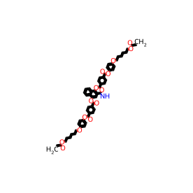 C=CC(=O)OCCCCCCOc1ccc(OC(=O)C2CCC(C(=O)Oc3cc(C=N)c(OC(=O)C4CCC(C(=O)Oc5ccc(OCCCCCCOC(=O)C=C)cc5)CC4)c4ccccc34)CC2)cc1